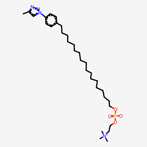 Cc1cn(-c2ccc(CCCCCCCCCCCCCCCCCCOP(=O)([O-])OCC[N+](C)(C)C)cc2)nn1